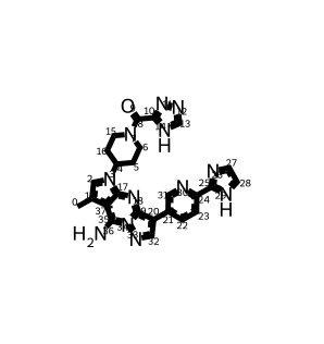 Cc1cn(C2CCN(C(=O)c3nnc[nH]3)CC2)c2nc3c(-c4ccc(-c5ncc[nH]5)nc4)cnn3c(N)c12